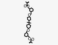 C=C(C)C(=O)OCC1CCCC(COC2CCC(C(C)(C)C3CCC(OCC4CCCC(COC(=O)C(=C)C)C4)CC3)CC2)C1